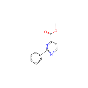 COC(=O)c1ccnc(-c2ccccc2)n1